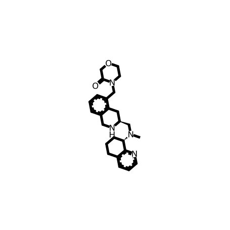 CN(C[C@@H]1Cc2c(cccc2CN2CCOCC2=O)CN1)[C@H]1CCCc2cccnc21